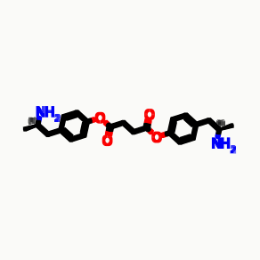 C[C@@H](N)Cc1ccc(OC(=O)CCC(=O)Oc2ccc(C[C@@H](C)N)cc2)cc1